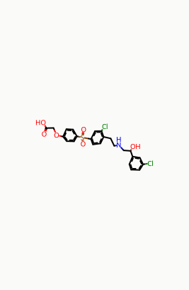 O=C(O)COc1ccc(S(=O)(=O)c2ccc(CCNC[C@@H](O)c3cccc(Cl)c3)c(Cl)c2)cc1